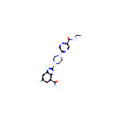 CC(C)CNC(=O)c1cnc(N2CCN(c3nc4c(C(N)=O)cc(F)cc4[nH]3)CC2)cn1